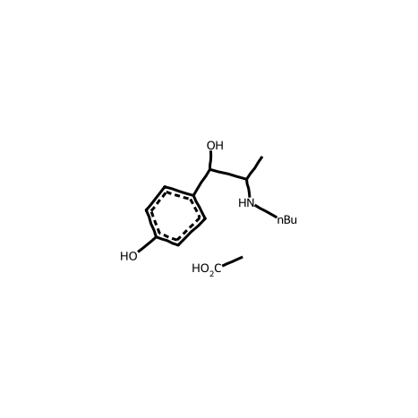 CC(=O)O.CCCCNC(C)C(O)c1ccc(O)cc1